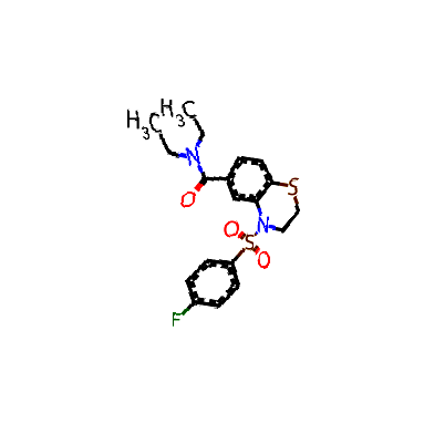 CCN(CC)C(=O)c1ccc2c(c1)N(S(=O)(=O)c1ccc(F)cc1)CCS2